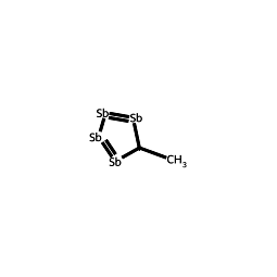 C[C]1[Sb]=[Sb][Sb]=[Sb]1